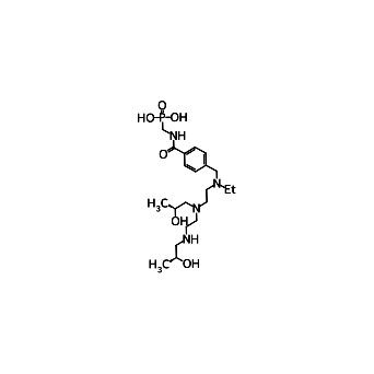 CCN(CCN(CCNC[C@H](C)O)C[C@H](C)O)Cc1ccc(C(=O)NCP(=O)(O)O)cc1